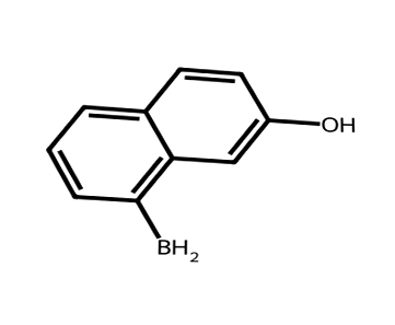 Bc1cccc2ccc(O)cc12